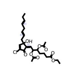 CC/C=C/C/C=C/CC1(O)C=C(Cl)C(=O)/C1=C\C(OC(C)=O)C(CCCC(=O)OCC)OC(C)=O